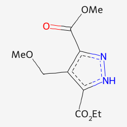 CCOC(=O)c1[nH]nc(C(=O)OC)c1COC